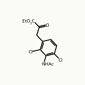 CCOC(=O)C(=O)Cc1ccc(Cl)c(NC(C)=O)c1Cl